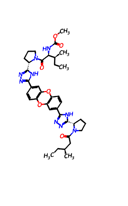 CC[C@H](C)CC(=O)N1CCC[C@H]1c1nnc(-c2ccc3c(c2)Oc2ccc(-c4nnc([C@@H]5CCCN5C(=O)[C@@H](NC(=O)OC)[C@@H](C)CC)[nH]4)cc2O3)[nH]1